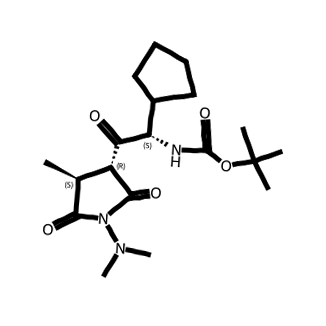 C[C@@H]1C(=O)N(N(C)C)C(=O)[C@H]1C(=O)[C@@H](NC(=O)OC(C)(C)C)C1CCCC1